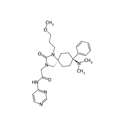 COCCCN1C(=O)N(CC(=O)Nc2ccncn2)C[C@]12CC[C@](c1ccccc1)(N(C)C)CC2